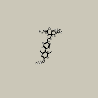 CCCCOc1cc(C)c(-c2ccc(CCC(COC(C)=O)(COC(C)=O)CC(N)=O)cc2)c(C)c1